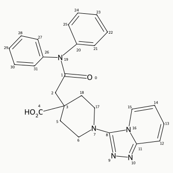 O=C(CC1(C(=O)O)CCN(c2nnc3ccccn23)CC1)N(c1ccccc1)c1ccccc1